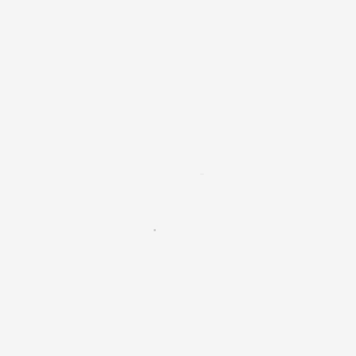 CC1CCC(C(COc2ccc3ccccc3c2)COc2ccc3ccccc3c2)C1